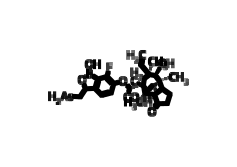 C=C[C@]1(C)C[C@@H](C(Oc2ccc3c(c2F)B(O)OC3C[AsH2])C(=O)O)[C@@]2(C)[C@H](C)CC[C@]3(CCC(=O)[C@H]32)[C@@H](C)[C@@H]1O